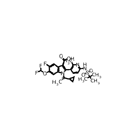 Cc1nc(NS(=O)(=O)C(C)(C)C)ccc1-c1c(C(=O)O)c2cc(F)c(OC(F)F)cc2n1[C@H](C)C1CC1